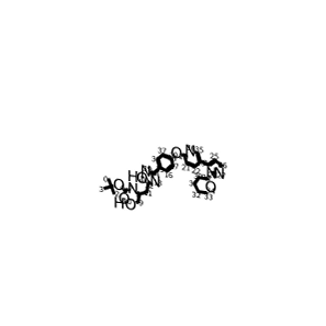 CC(C)(C)OC(=O)NC(CO)Cc1nc(-c2ccc(Oc3ccc(-c4ccnn4C4CCCCO4)cn3)cc2)no1